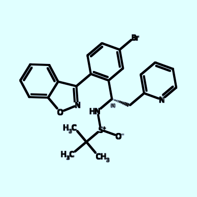 CC(C)(C)[S+]([O-])N[C@@H](Cc1ccccn1)c1cc(Br)ccc1-c1noc2ccccc12